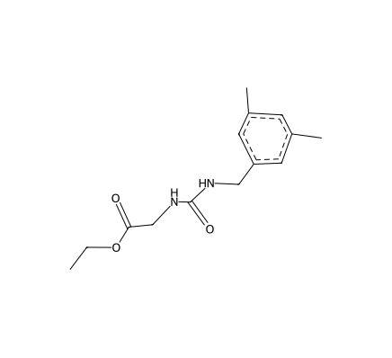 CCOC(=O)CNC(=O)NCc1cc(C)cc(C)c1